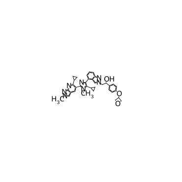 Cn1cc2cc(-c3nc(-c4cccc5nn(C[C@H](O)c6ccc(OC7COC7)cc6)cc45)c(C4CC4)n3C)c(C3CC3)nc2n1